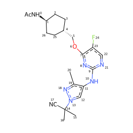 CC(=O)N[C@H]1CC[C@H](COc2nc(Nc3cn(C(C)(C)C#N)nc3C)ncc2F)CC1